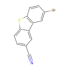 N#Cc1ccc2sc3ccc(Br)cc3c2c1